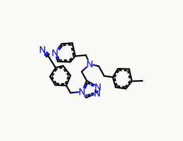 Cc1ccc(CCN(Cc2ccncc2)Cc2nncn2Cc2ccc(C#N)cc2)cc1